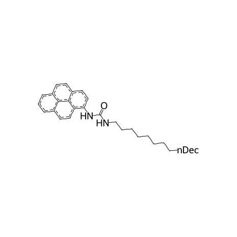 CCCCCCCCCCCCCCCCCCNC(=O)Nc1ccc2ccc3cccc4ccc1c2c34